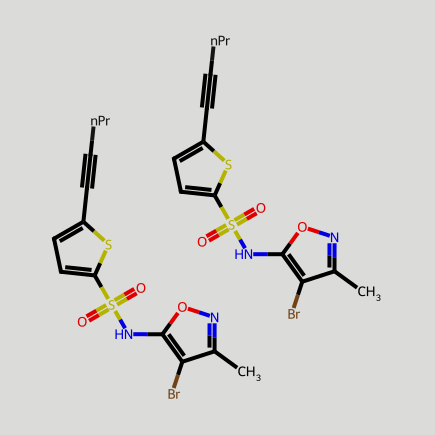 CCCC#Cc1ccc(S(=O)(=O)Nc2onc(C)c2Br)s1.CCCC#Cc1ccc(S(=O)(=O)Nc2onc(C)c2Br)s1